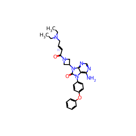 CCN(CC)C/C=C/C(=O)N1CC(n2c(=O)n(-c3ccc(Oc4ccccc4)cc3)c3c(N)ncnc32)C1